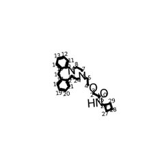 O=C(COCCN1CCN2c3ccccc3Cc3ccccc3C2C1)NC1CCC1